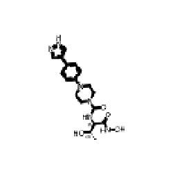 C[C@H](O)[C@@H](NC(=O)N1CCN(c2ccc(-c3cn[nH]c3)cc2)CC1)C(=O)NO